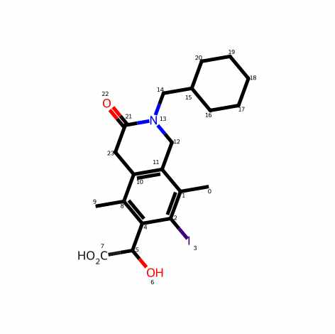 Cc1c(I)c(C(O)C(=O)O)c(C)c2c1CN(CC1CCCCC1)C(=O)C2